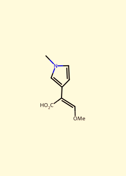 COC=C(C(=O)O)c1ccn(C)c1